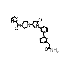 NC(=O)Cc1cccc(-c2cccc(N3CC(N4CCN(C(=O)c5nccs5)CC4)CC3=O)c2)c1